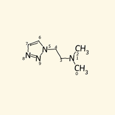 CN(C)CCn1c[c]nn1